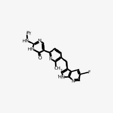 Cc1nc(-c2cnc(NC(C)C)[nH]c2=O)ccc1Cc1c[nH]c2ncc(F)cc12